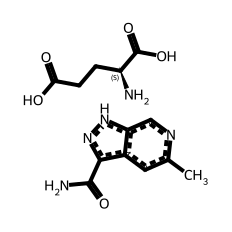 Cc1cc2c(C(N)=O)n[nH]c2cn1.N[C@@H](CCC(=O)O)C(=O)O